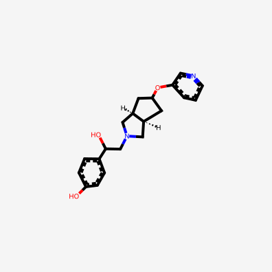 Oc1ccc(C(O)CN2C[C@H]3CC(Oc4cccnc4)C[C@H]3C2)cc1